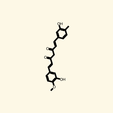 COc1ccc(/C=C/C(=O)CC(=O)/C=C/c2ccc(C)c(O)c2)cc1O